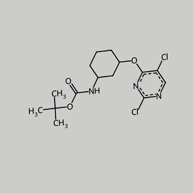 CC(C)(C)OC(=O)NC1CCCC(Oc2nc(Cl)ncc2Cl)C1